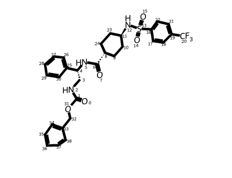 O=C(NC[C@@H](NC(=O)[C@H]1CC[C@H](NS(=O)(=O)c2ccc(C(F)(F)F)cc2)CC1)c1ccccc1)OCc1ccccc1